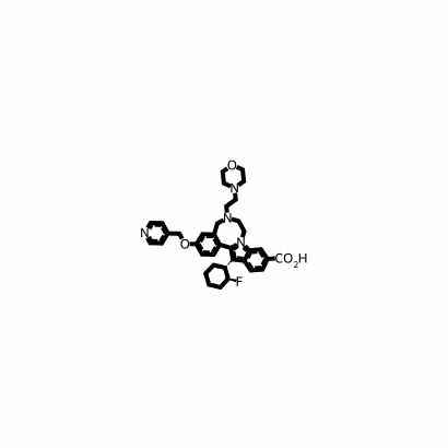 O=C(O)c1ccc2c([C@H]3CCCC[C@@H]3F)c3n(c2c1)CCN(CCN1CCOCC1)Cc1cc(OCc2ccncc2)ccc1-3